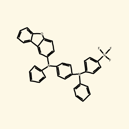 F[Si](F)(F)c1ccc(N(c2ccccc2)c2ccc(N(c3ccccc3)c3ccc4oc5ccccc5c4c3)cc2)cc1